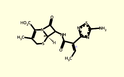 C/C=C(\C(=O)NC1C(=O)N2C(C(=O)O)=C(C)CS[C@H]12)c1nsc(N)n1